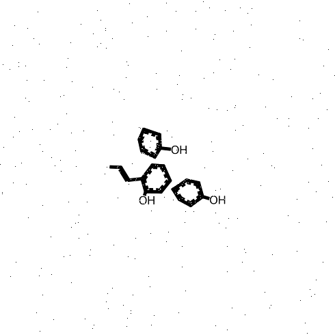 CC=Cc1ccccc1O.Oc1ccccc1.Oc1ccccc1